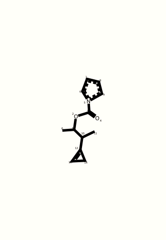 CC(OC(=O)n1cccc1)C(C)C1=CC1